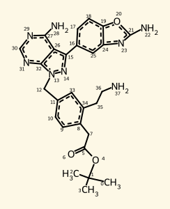 CC(C)(C)OC(=O)Cc1ccc(Cn2nc(-c3ccc4oc(N)nc4c3)c3c(N)ncnc32)cc1CCN